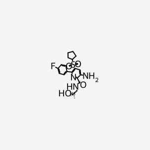 C[C@H](O)CNC(=O)c1nc(-c2ccc(F)cc2)c(S(=O)(=O)C2CCCC2)cc1N